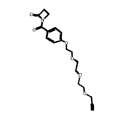 C#CCOCCOCCOCCOc1ccc(C(=O)N2CCC2=O)cc1